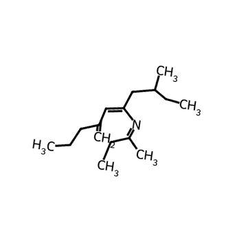 C=C(/C=C(CC(C)CC)\N=C(\C)CC)CCC